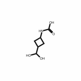 O=C(O)NC1CC(C(O)O)C1